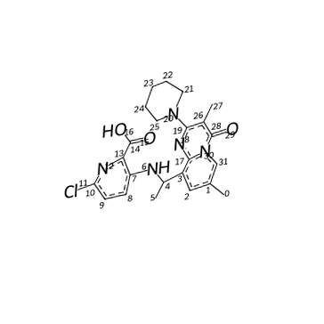 Cc1cc(C(C)Nc2ccc(Cl)nc2C(=O)O)c2nc(N3CCCCC3)c(C)c(=O)n2c1